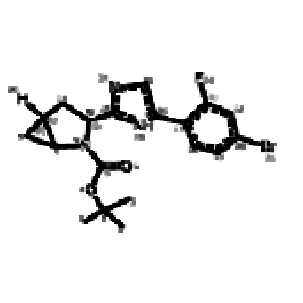 CC(C)(C)OC(=O)N1C2C[C@@H]2C[C@H]1c1ncc(-c2ccc(Br)cc2F)[nH]1